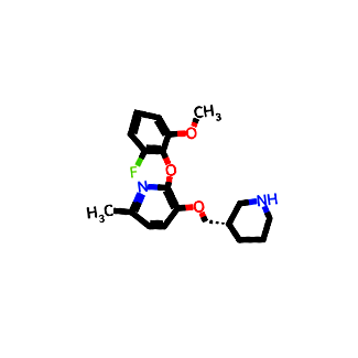 COc1cccc(F)c1Oc1nc(C)ccc1OC[C@H]1CCCNC1